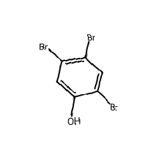 Oc1cc(Br)c(Br)cc1Br